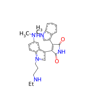 CCNCCCn1cc(C2=C(c3c[nH]c4ccccc34)C(=O)NC2=O)c2cc(N(C)C)ccc21